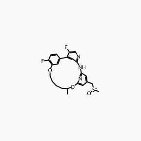 CC1CCCCOc2cc(ccc2F)-c2cc(ncc2F)Nc2cc(C[S+](C)[O-])cc(n2)O1